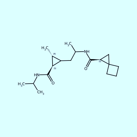 CC(C)NC(=O)[C@@H]1C(CC(C)NC(=O)[C@H]2CC23CCC3)[C@H]1C